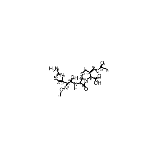 CON=C(C(=O)NC1C(=O)N2C(C(=O)O)C(=COC(C)=O)CS[C@H]12)c1csc(N)n1